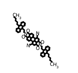 CCCCCCc1c2ccccc2c(CCN2C(=O)c3ccc4c5c(C#N)cc6c7c(cc(C#N)c(c8ccc(c3c48)C2=O)c75)C(=O)N(CCc2c3ccccc3c(CCCCCC)c3ccccc23)C6=O)c2ccccc12